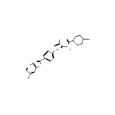 CC1CCC(C(=O)N(c2nn(-c3ccc(-c4nc5ncc(Cl)cc5[nH]4)cc3)cc2C(=O)O)C(C)C)CC1